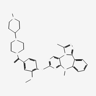 COc1cc(C(=O)N2CCN(C3CCN(C)CC3)CC2)ccc1Nc1ncc2c(n1)N(C)c1ccccc1-c1nnc(C)n1-2